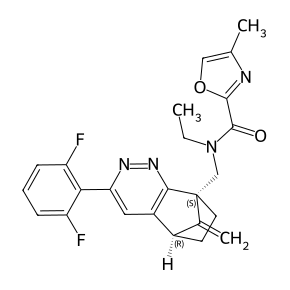 C=C1[C@H]2CC[C@]1(CN(CC)C(=O)c1nc(C)co1)c1nnc(-c3c(F)cccc3F)cc12